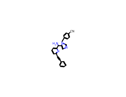 N#Cc1ccc(Cn2cncc2C(N)c2cccc(C#Cc3ccccc3)n2)cc1